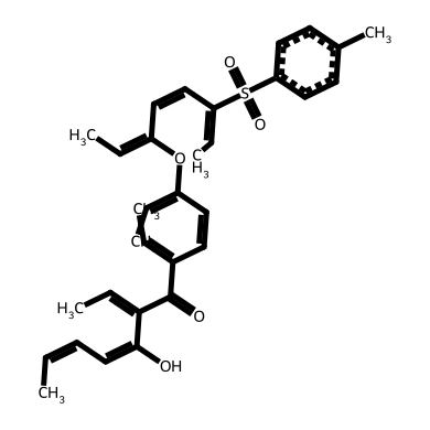 C\C=C/C=C(O)\C(=C/C)C(=O)C(/C=C\C(=C/C)OC(/C=C\C(=C/C)S(=O)(=O)c1ccc(C)cc1)=C/C)=C/C